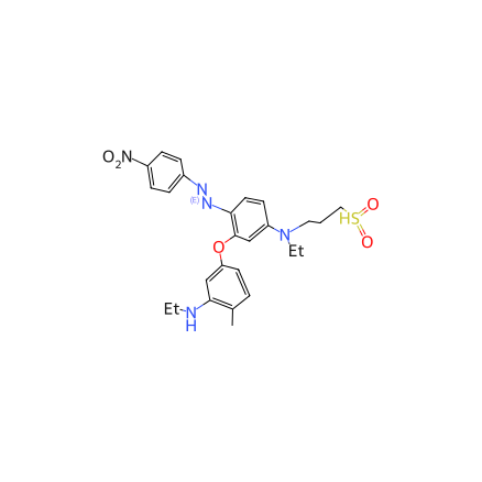 CCNc1cc(Oc2cc(N(CC)CCC[SH](=O)=O)ccc2/N=N/c2ccc([N+](=O)[O-])cc2)ccc1C